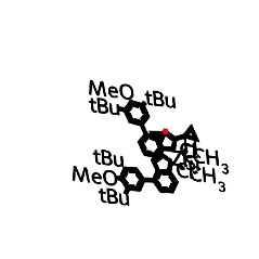 COc1c(C(C)(C)C)cc(-c2cccc3c2C=C(C2CC2)[CH]3[Zr]([Cl])([Cl])([CH]2C(C3CC3)=Cc3c(-c4cc(C(C)(C)C)c(OC)c(C(C)(C)C)c4)cccc32)[SiH](C)C)cc1C(C)(C)C